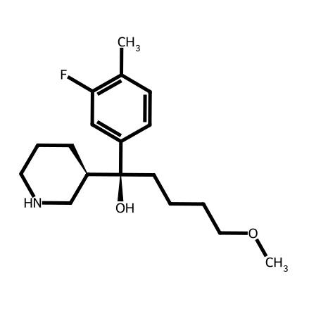 COCCCC[C@@](O)(c1ccc(C)c(F)c1)[C@@H]1CCCNC1